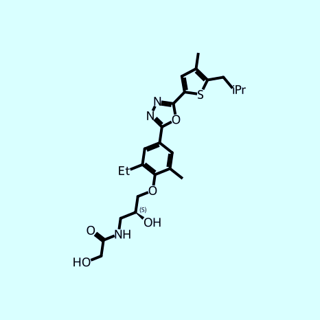 CCc1cc(-c2nnc(-c3cc(C)c(CC(C)C)s3)o2)cc(C)c1OC[C@@H](O)CNC(=O)CO